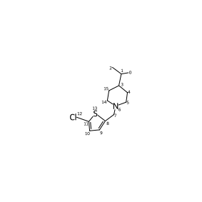 CC(C)C1CCN(Cc2ccc(Cl)s2)CC1